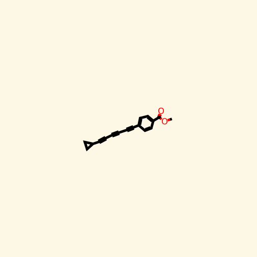 COC(=O)c1ccc(C#CC#CC#CC2CC2)cc1